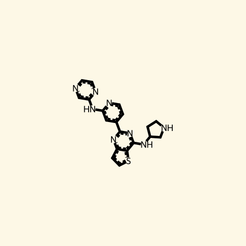 c1cnc(Nc2cc(-c3nc(NC4CCNC4)c4sccc4n3)ccn2)cn1